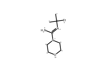 CCC(C)(C)/N=C(\N)N1CCOCC1